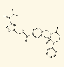 C[C@H]1CCC(c2ccccc2)S(=O)(=O)N1Cc1ccc(C(=O)NCc2noc(C(=O)N(C)C)n2)cc1